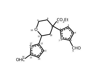 CCOC(=O)C1(c2ccc(C=O)s2)CCOC(c2ccc(C=O)s2)C1